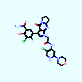 NC(=O)c1cc(-c2cn(CC(=O)NC3=C(Cl)CNC(N4CCOCC4)=C3)c3nc4n(c(=O)c23)CCC4)c(F)c(Cl)c1O